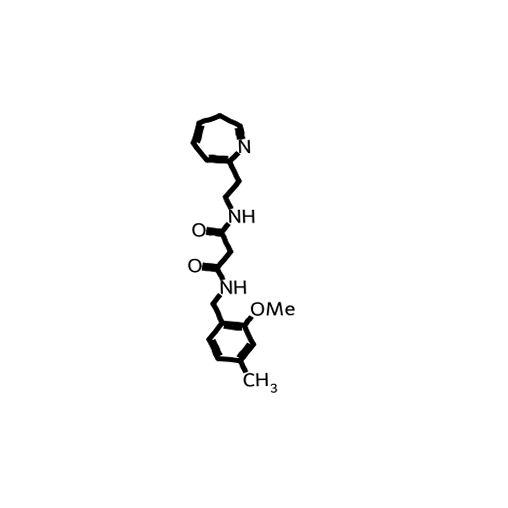 COc1cc(C)ccc1CNC(=O)CC(=O)NCCC1=CC=CCC=N1